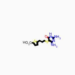 Nc1nc(N)c(SCCCc2ccc(C(=O)O)s2)c(=O)[nH]1